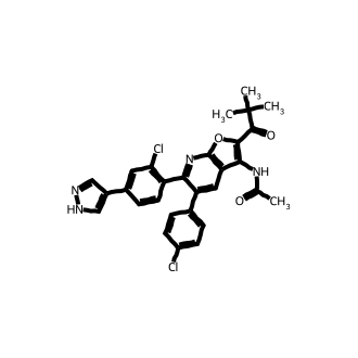 CC(=O)Nc1c(C(=O)C(C)(C)C)oc2nc(-c3ccc(-c4cn[nH]c4)cc3Cl)c(-c3ccc(Cl)cc3)cc12